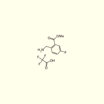 COC(=O)c1cc(F)ccc1CN.O=C(O)C(F)(F)F